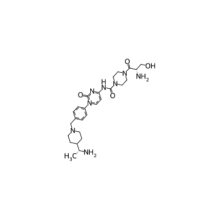 C[C@@H](N)C1CCN(Cc2ccc(-n3ccc(NC(=O)N4CCN(C(=O)[C@@H](N)CO)CC4)nc3=O)cc2)CC1